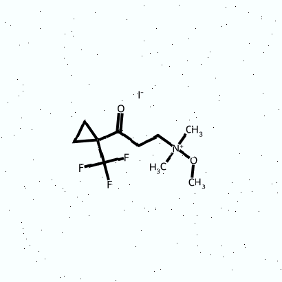 CO[N+](C)(C)CCC(=O)C1(C(F)(F)F)CC1.[I-]